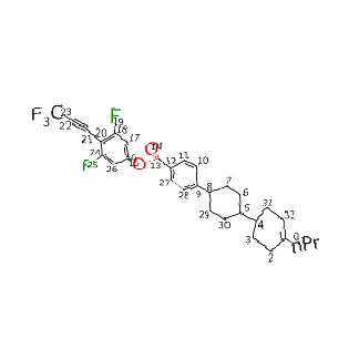 CCCC1CCC(C2CCC(c3ccc(C(=O)Oc4cc(F)c(C#CC(F)(F)F)c(F)c4)cc3)CC2)CC1